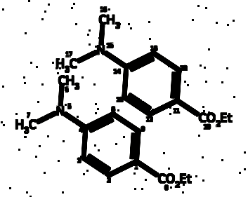 CCOC(=O)c1ccc(N(C)C)cc1.CCOC(=O)c1ccc(N(C)C)cc1